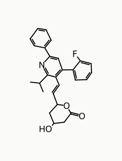 CC(C)c1nc(-c2ccccc2)cc(-c2ccccc2F)c1C=CC1CC(O)CC(=O)O1